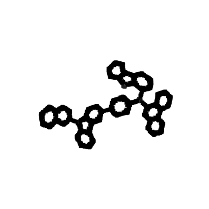 c1ccc2cc(-n3c4ccccc4c4cc(-c5ccc(N(c6cc7ccccc7c7ccccc67)c6cccc7c6oc6ccccc67)cc5)ccc43)ccc2c1